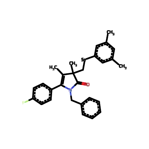 CC1=C(c2ccc(F)cc2)N(Cc2ccccc2)C(=O)C1(C)C[Se]c1cc(C)cc(C)c1